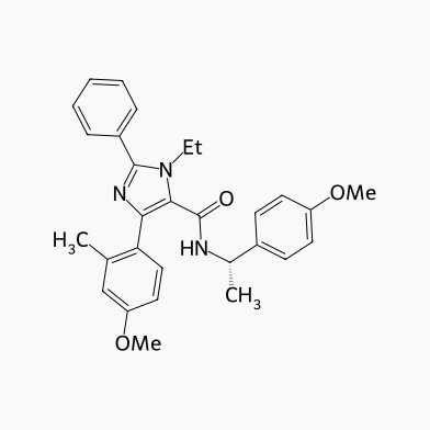 CCn1c(-c2ccccc2)nc(-c2ccc(OC)cc2C)c1C(=O)N[C@@H](C)c1ccc(OC)cc1